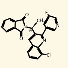 C[C@@H](c1cc2cccc(Cl)c2nc1-c1cncc(F)c1)N1C(=O)c2ccccc2C1=O